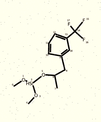 CO[SiH](OC)OC(C)Cc1cccc(C(F)(F)F)c1